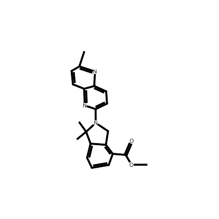 COC(=O)c1cccc2c1CN(c1ccc3nc(C)ccc3n1)C2(C)C